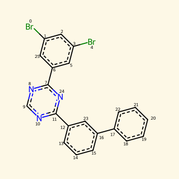 Brc1cc(Br)cc(-c2ncnc(-c3cccc(-c4ccccc4)c3)n2)c1